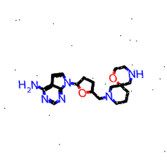 Nc1ncnc2c1ccn2C1CCC(CN2CCCC3(CNCCO3)C2)O1